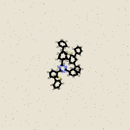 c1ccc(-c2cc(-c3ccccc3)c3sc4c(-c5ccccc5)ccc(-c5nc(-c6ccccc6)nc(-c6cccc7c6sc6ccccc67)n5)c4c3c2)cc1